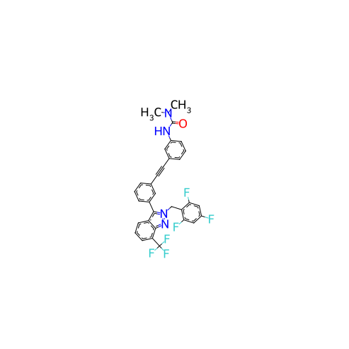 CN(C)C(=O)Nc1cccc(C#Cc2cccc(-c3c4cccc(C(F)(F)F)c4nn3Cc3c(F)cc(F)cc3F)c2)c1